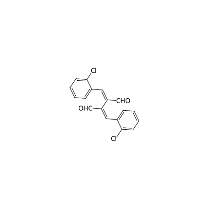 O=CC(=C/c1ccccc1Cl)/C(C=O)=C\c1ccccc1Cl